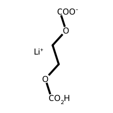 O=C([O-])OCCOC(=O)O.[Li+]